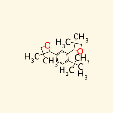 CC(C)(C)c1ccc(C2OCC2(C)C)cc1C1OCC1(C)C